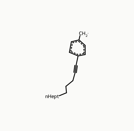 [CH2]c1ccc(C#CCCCCCCCCCC)cc1